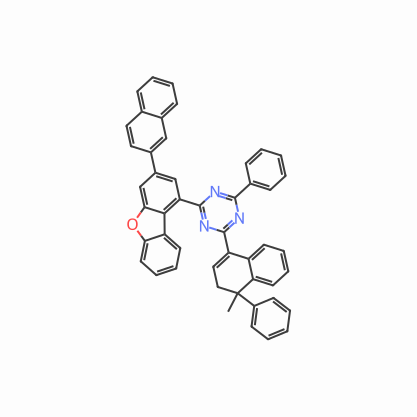 CC1(c2ccccc2)CC=C(c2nc(-c3ccccc3)nc(-c3cc(-c4ccc5ccccc5c4)cc4oc5ccccc5c34)n2)c2ccccc21